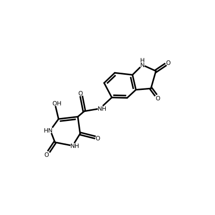 O=C1Nc2ccc(NC(=O)c3c(O)[nH]c(=O)[nH]c3=O)cc2C1=O